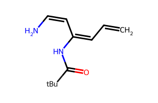 C=C/C=C(\C=C/N)NC(=O)C(C)(C)C